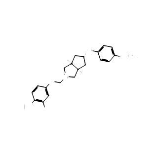 COc1ccc(O[C@H]2C[C@@H]3CN(CSc4ccc(O)c(F)c4)C[C@@H]3C2)cc1